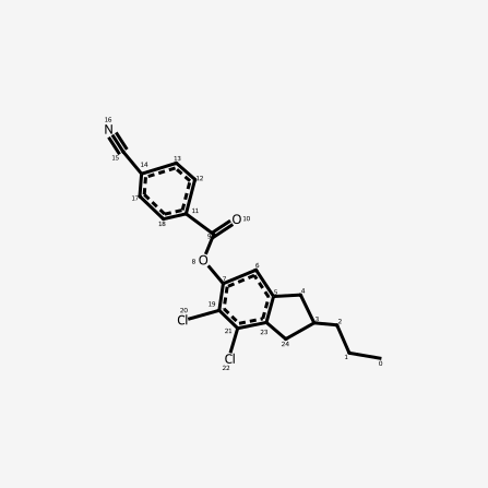 CCCC1Cc2cc(OC(=O)c3ccc(C#N)cc3)c(Cl)c(Cl)c2C1